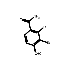 CCc1c(C=O)ccc(C(N)=O)c1CC